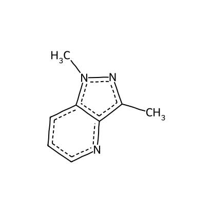 Cc1nn(C)c2cccnc12